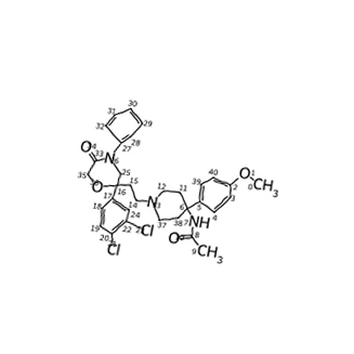 COc1ccc(C2(NC(C)=O)CCN(CCC3(c4ccc(Cl)c(Cl)c4)CN(c4ccccc4)C(=O)CO3)CC2)cc1